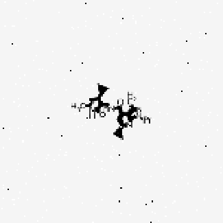 Cc1cc(C2CC2)c(CNC(=O)c2cc(C3CC3)nc3c2c(C)nn3C(C)C)c(=O)[nH]1